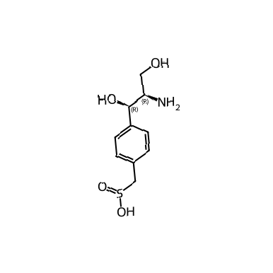 N[C@H](CO)[C@H](O)c1ccc(CS(=O)O)cc1